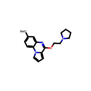 COc1ccc2c(c1)nc(OCCN1CCCC1)c1cccn12